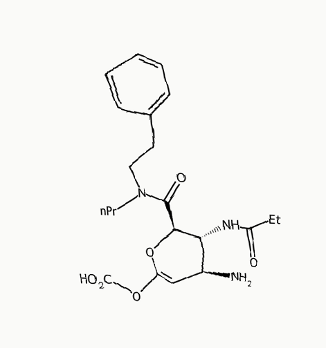 CCCN(CCc1ccccc1)C(=O)[C@@H]1OC(OC(=O)O)=C[C@H](N)[C@H]1NC(=O)CC